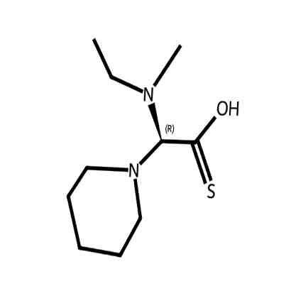 CCN(C)[C@@H](C(O)=S)N1CCCCC1